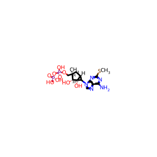 CSc1nc(N)c2ncn(C3[C@@H]4C[C@](C)(COP(=O)(O)OP(=O)(O)O)[C@@H](O)[C@]34O)c2n1